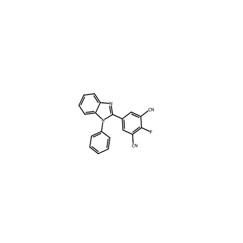 N#Cc1cc(-c2nc3ccccc3n2-c2ccccc2)cc(C#N)c1F